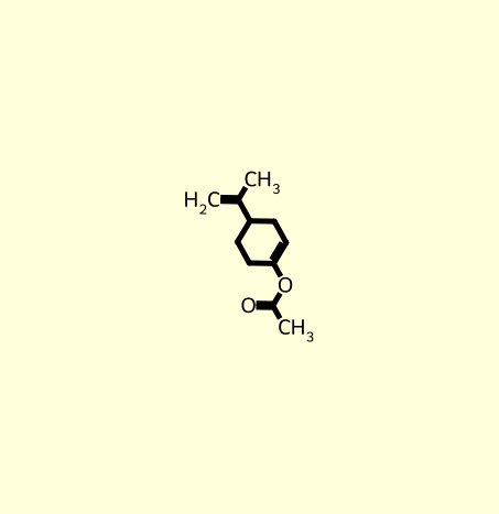 C=C(C)C1CC=C(OC(C)=O)CC1